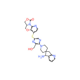 N[C@@H]1c2cccnc2CC12CCN(c1ncc(Sc3ccnc4c3OCC3COC(=O)N43)nc1CO)CC2